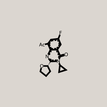 CC(=O)c1cc(F)cc2c(=O)n(C3CC3)c([C@@H]3CCCO3)nc12